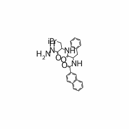 CC(C)CC(NC(=O)C(Cc1ccccc1)NC(=O)c1ccc2ccccc2c1)C(=O)NN